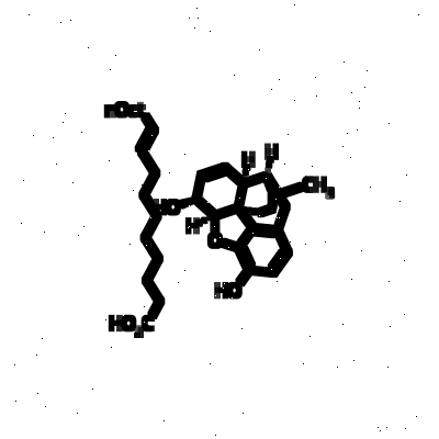 CCCCCCCCC=CCCCCCCCC(=O)O.CN1CC[C@]23c4c5ccc(O)c4O[C@H]2[C@@H](O)C=C[C@H]3[C@H]1C5